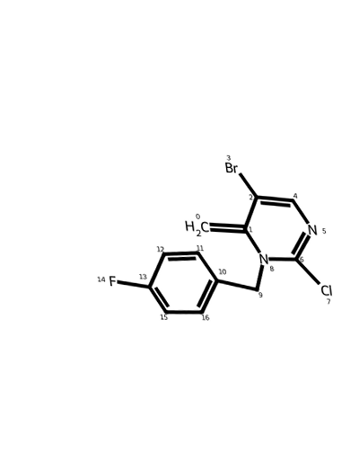 C=C1C(Br)=CN=C(Cl)N1Cc1ccc(F)cc1